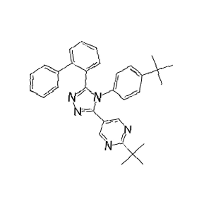 CC(C)(C)c1ccc(-n2c(-c3cnc(C(C)(C)C)nc3)nnc2-c2ccccc2-c2ccccc2)cc1